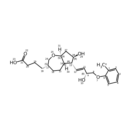 Cc1ccccc1OC[C@H](O)C=C[C@@H]1[C@H]2CC[C@H](CCCC(=O)O)CO[C@H]2C[C@H]1O